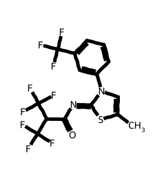 Cc1cn(-c2cccc(C(F)(F)F)c2)c(=NC(=O)C(C(F)(F)F)C(F)(F)F)s1